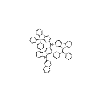 C1=CCCC(/C(C2=CCCC=C2)=C2/c3ccccc3-c3ccc(N(c4ccc5c(c4)C(c4ccccc4)(c4ccccc4)c4ccccc4-5)c4ccc5c(c4)c4ccccc4n5C4=CC5C=CC=CC5C=C4)cc32)=C1